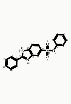 O=S(=O)(Oc1ccccc1)c1ccc2[nH]c(-c3ccccc3)nc2c1